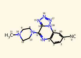 [C-]#[N+]c1ccc2nc(N3CCN(C)CC3)c3nnnn3c2c1